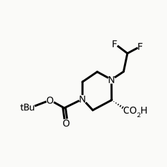 CC(C)(C)OC(=O)N1CCN(CC(F)F)[C@H](C(=O)O)C1